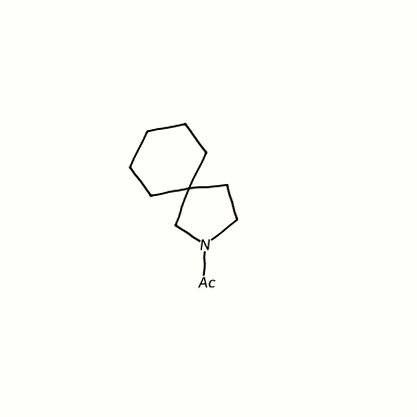 CC(=O)N1CCC2(CCCCC2)C1